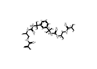 C=C(C)C(=O)OCC(C)OC(=O)NC(C)(C)c1cccc(C(C)(C)NC(=O)OC(C)COC(=O)C(C)C)c1